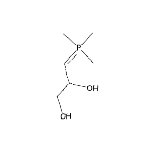 CP(C)(C)=CC(O)CO